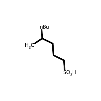 CCCC[C](C)CCCS(=O)(=O)O